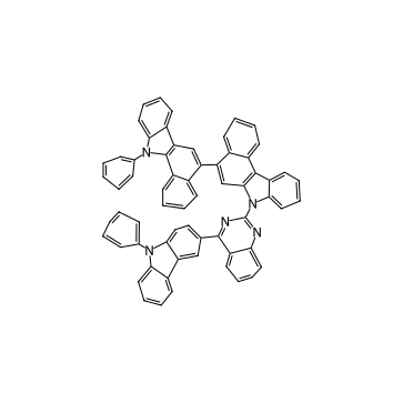 c1ccc(-n2c3ccccc3c3cc(-c4nc(-n5c6ccccc6c6c7ccccc7c(-c7cc8c9ccccc9n(-c9ccccc9)c8c8ccccc78)cc65)nc5ccccc45)ccc32)cc1